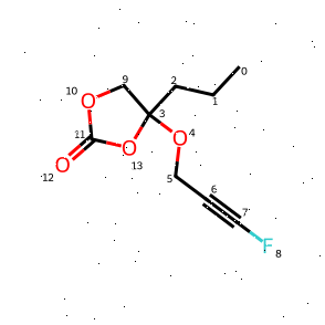 CCCC1(OCC#CF)COC(=O)O1